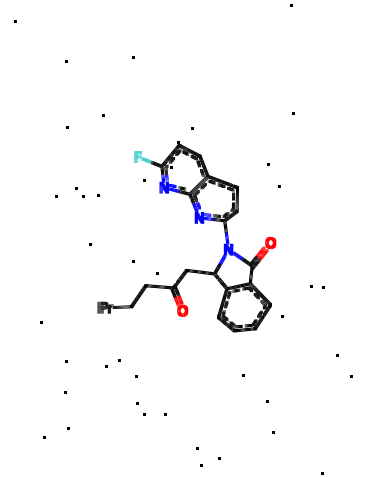 CC(C)CCC(=O)CC1c2ccccc2C(=O)N1c1ccc2ccc(F)nc2n1